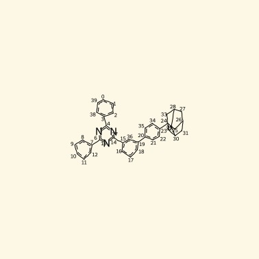 c1ccc(-c2nc(-c3ccccc3)nc(-c3cccc(-c4ccc(C56CC7CC(CC(C7)C5)C6)cc4)c3)n2)cc1